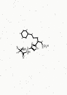 CCOC(=O)c1coc(C(CCCC2CCCCC2)CC(=O)O)n1.O=C(O)C(F)(F)F